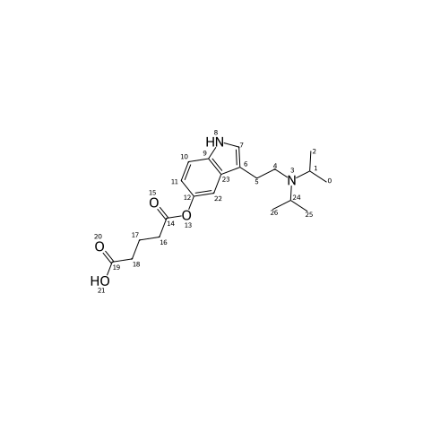 CC(C)N(CCc1c[nH]c2ccc(OC(=O)CCCC(=O)O)cc12)C(C)C